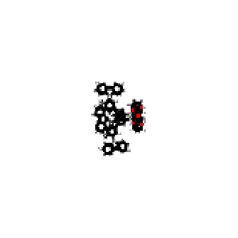 Brc1ccc2c(c1)C(n1c3ccc(-n4c5ccccc5c5ccccc54)cc3c3cc(-n4c5ccccc5c5ccccc54)ccc31)(n1c3ccc(-n4c5ccccc5c5ccccc54)cc3c3cc(-n4c5ccccc5c5ccccc54)ccc31)c1cc(Br)ccc1-2